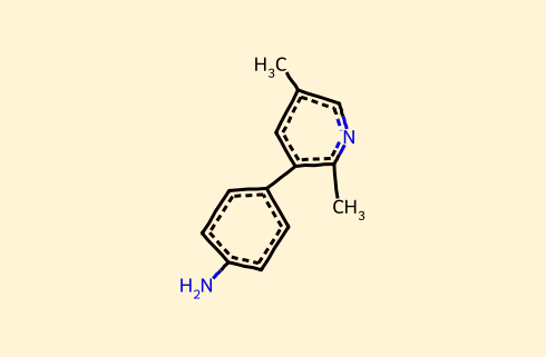 Cc1cnc(C)c(-c2ccc(N)cc2)c1